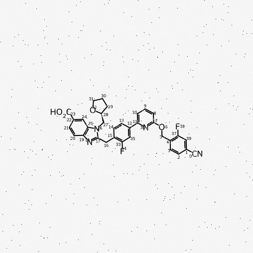 N#Cc1ccc(COc2cccc(-c3ccc(Cc4nc5ccc(C(=O)O)cc5n4C[C@@H]4CCCO4)c(F)c3)n2)c(F)c1